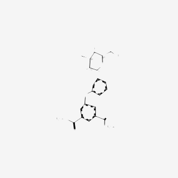 COC(=O)c1cc(Oc2cccc([C@H]3O[C@H](CO)[C@@H](O)[C@H](O)[C@@H]3O)c2)cc(C(=O)OC)c1